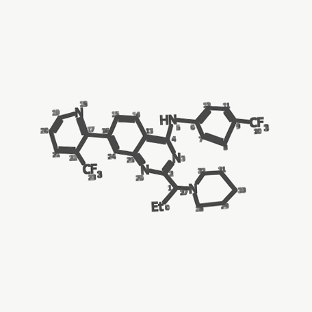 CCC(c1nc(Nc2ccc(C(F)(F)F)cc2)c2ccc(-c3ncccc3C(F)(F)F)cc2n1)N1CCCCC1